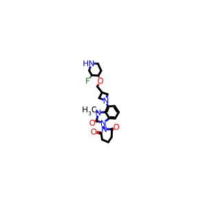 Cn1c(=O)n(N2C(=O)CCCC2=O)c2cccc(N3CC(CO[C@@H]4CCNC[C@@H]4F)C3)c21